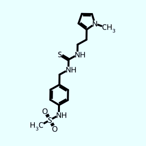 Cn1cccc1CCNC(=S)NCc1ccc(NS(C)(=O)=O)cc1